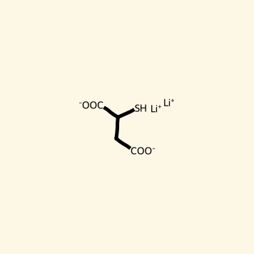 O=C([O-])CC(S)C(=O)[O-].[Li+].[Li+]